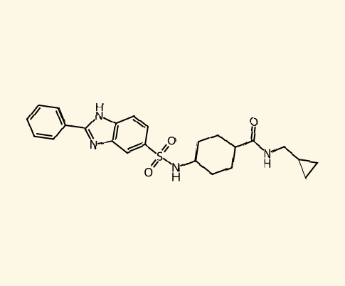 O=C(NCC1CC1)C1CCC(NS(=O)(=O)c2ccc3[nH]c(-c4ccccc4)nc3c2)CC1